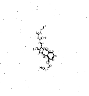 C=CCCC(C)CC(O)C=CC1C(O)CC2Oc3c(OCC(=O)O)cccc3OC21